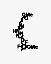 COC(=O)CCCn1cc(Nc2ncc(OCc3c(F)c(C)cc(OC)c3F)cn2)cn1